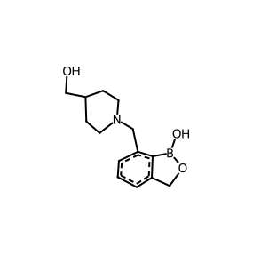 OCC1CCN(Cc2cccc3c2B(O)OC3)CC1